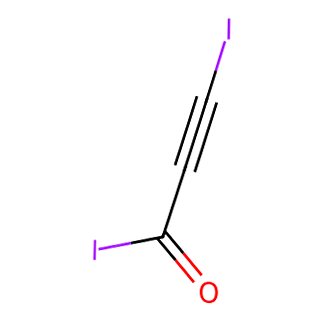 O=C(I)C#CI